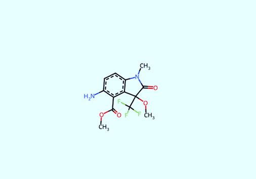 COC(=O)c1c(N)ccc2c1C(OC)(C(F)(F)F)C(=O)N2C